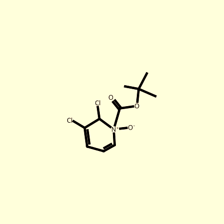 CC(C)(C)OC(=O)[N+]1([O-])C=CC=C(Cl)C1Cl